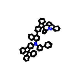 c1ccc(-c2cccc(N(c3ccc4c(c3)C(c3ccccc3)(c3ccccc3)c3ccccc3-4)c3ccc(-c4ccc5c(c4)C4(c6ccccc6-5)c5ccccc5-n5c6ccccc6c6cccc4c65)c4ccccc34)c2)cc1